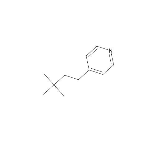 CC(C)(C)CCc1ccncc1